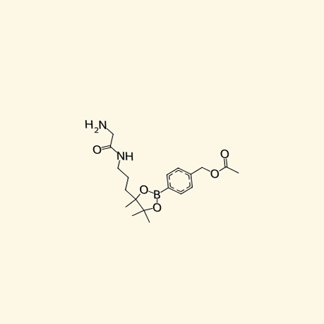 CC(=O)OCc1ccc(B2OC(C)(C)C(C)(CCCNC(=O)CN)O2)cc1